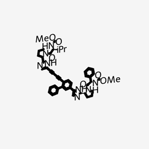 COC(=O)N[C@H](C(=O)N1CCC[C@H]1c1ncc(-c2ccc(C#CC#Cc3cnc(C4CCCN4C(=O)[C@@H](NC(=O)OC)C(C)C)[nH]3)c(-c3ccccc3)c2)[nH]1)c1ccccc1